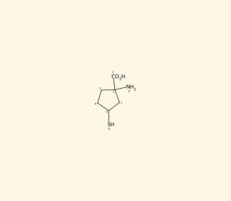 NC1(C(=O)O)CCC(S)C1